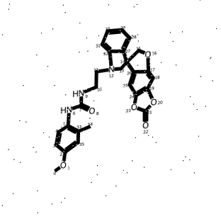 COc1ccc(NC(=O)NCCN2CC3(COc4cc5oc(=O)oc5cc43)c3ccccc32)c(C)c1